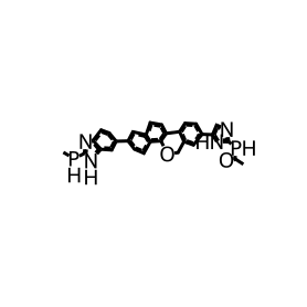 CPc1nc2ccc(-c3ccc4c5c(ccc4c3)-c3ccc(-c4cnc(PC(C)=O)[nH]4)cc3CO5)cc2[nH]1